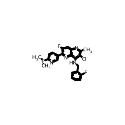 Cc1nc2cc(F)c(-c3ccc(P(C)C)nc3)nc2c(NCc2ccccc2F)c1Cl